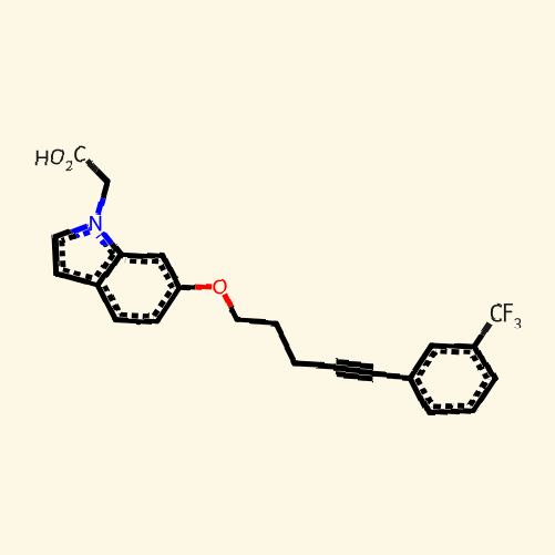 O=C(O)Cn1ccc2ccc(OCCCC#Cc3cccc(C(F)(F)F)c3)cc21